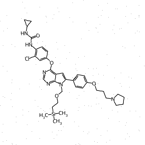 C[Si](C)(C)CCOCn1c(-c2ccc(OCCCN3CCCC3)cc2)cc2c(Oc3ccc(NC(=O)NC4CC4)c(Cl)c3)ncnc21